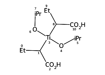 CC[CH](C(=O)O)[Ti]([O]C(C)C)([O]C(C)C)[CH](CC)C(=O)O